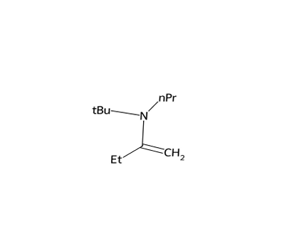 C=C(CC)N(CCC)C(C)(C)C